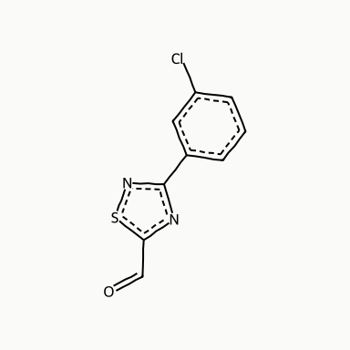 O=Cc1nc(-c2cccc(Cl)c2)ns1